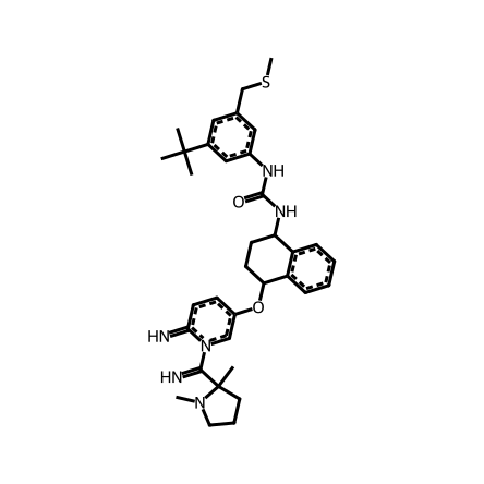 CSCc1cc(NC(=O)NC2CCC(Oc3ccc(=N)n(C(=N)C4(C)CCCN4C)c3)c3ccccc32)cc(C(C)(C)C)c1